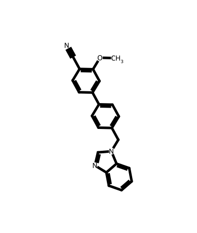 COc1cc(-c2ccc(Cn3cnc4ccccc43)cc2)ccc1C#N